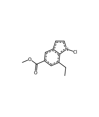 CCc1cc(C(=O)OC)cc2ccn(Cl)c12